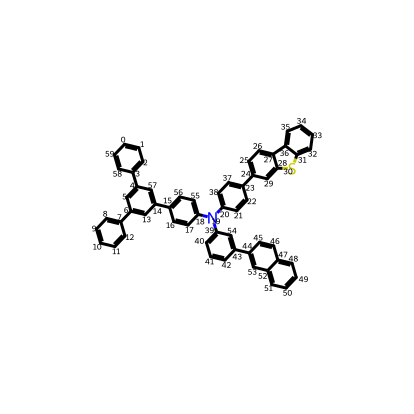 c1ccc(-c2cc(-c3ccccc3)cc(-c3ccc(N(c4ccc(-c5ccc6c(c5)sc5ccccc56)cc4)c4cccc(-c5ccc6ccccc6c5)c4)cc3)c2)cc1